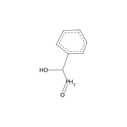 O=[PH2]C(O)c1ccccc1